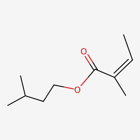 CC=C(C)C(=O)OCCC(C)C